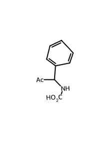 CC(=O)C(NC(=O)O)c1ccccc1